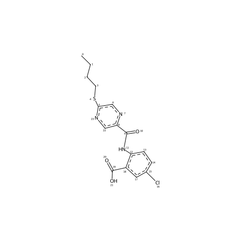 CCCCSc1cnc(C(=O)Nc2ccc(Cl)cc2C(=O)O)cn1